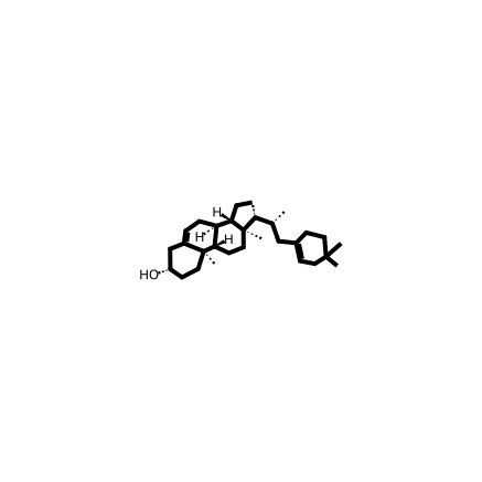 C[C@H](CC1=CCC(C)(C)CC1)[C@H]1CC[C@H]2[C@@H]3CC=C4C[C@@H](O)CC[C@]4(C)[C@H]3CC[C@]12C